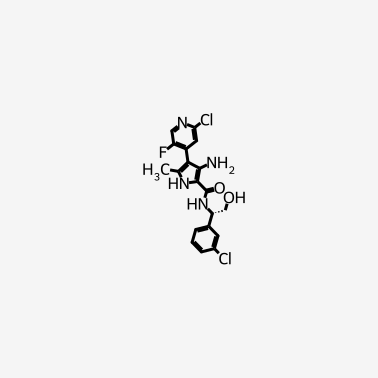 Cc1[nH]c(C(=O)N[C@H](CO)c2cccc(Cl)c2)c(N)c1-c1cc(Cl)ncc1F